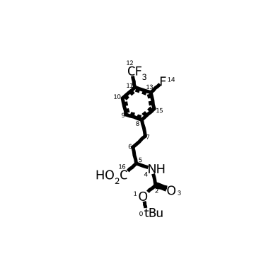 CC(C)(C)OC(=O)NC(CCc1ccc(C(F)(F)F)c(F)c1)C(=O)O